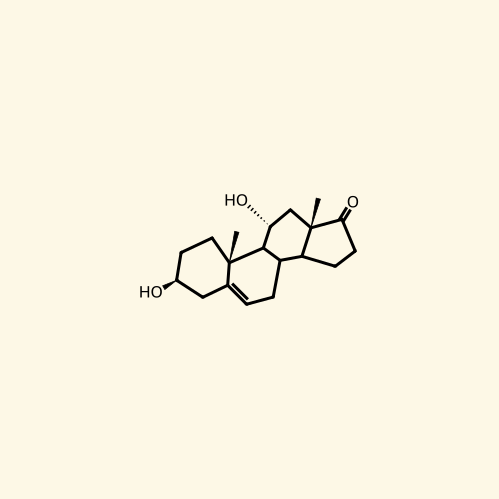 C[C@]12CC[C@H](O)CC1=CCC1C2[C@H](O)C[C@]2(C)C(=O)CCC12